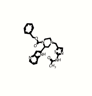 CC(=O)Nc1ncc(CN2CCN(C(=O)OCc3ccccc3)C(c3cc4ncccc4[nH]3)C2)s1